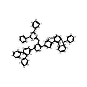 c1ccc(-c2nc(Cc3cc(-c4ccc(-c5ccccc5)c(-c5ccccc5)c4)cnc3-c3ccc4c(c3)sc3ccc5c(c6ccccc6n5-c5ccccc5)c34)nc(-c3ccccc3)n2)cc1